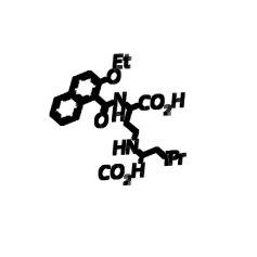 CCOc1ccc2ccccc2c1C(=O)NC(CCN[C@@H](CC(C)C)C(=O)O)C(=O)O